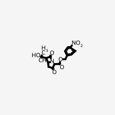 CC(C)(O)C1C(=O)N2C(C(=O)OCc3ccc([N+](=O)[O-])cc3)C(=O)CC12